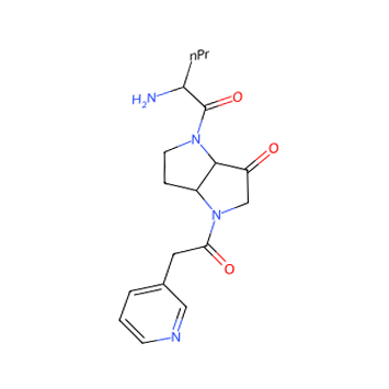 CCCC(N)C(=O)N1CCC2C1C(=O)CN2C(=O)Cc1cccnc1